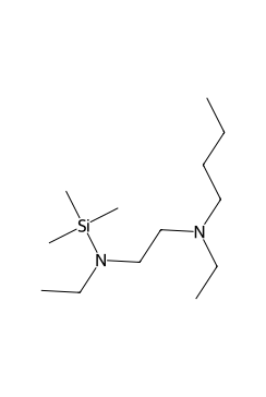 CCCCN(CC)CCN(CC)[Si](C)(C)C